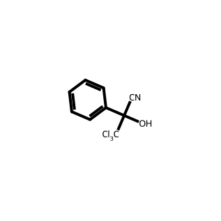 N#CC(O)(c1ccccc1)C(Cl)(Cl)Cl